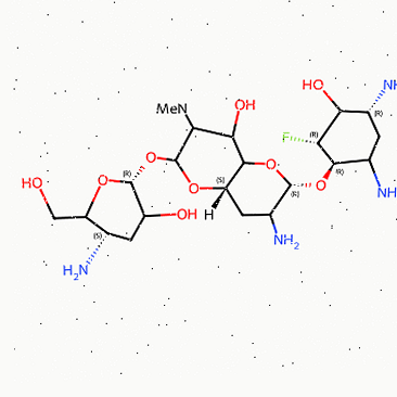 CNC1C(O[C@H]2OC(CO)[C@@H](N)CC2O)O[C@H]2CC(N)[C@@H](O[C@@H]3C(N)C[C@@H](N)C(O)[C@H]3F)OC2C1O